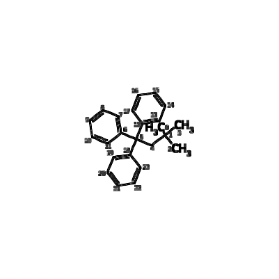 CC(C)(C)CC(c1ccccc1)(c1ccccc1)c1ccccc1